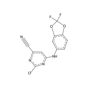 N#Cc1cc(Nc2ccc3c(c2)OC(F)(F)O3)nc(Cl)n1